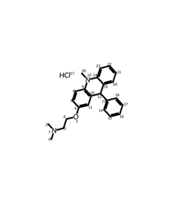 CN(C)CCOc1ccc2c(c1)C(c1ccccc1)c1ccccc1N2C.Cl